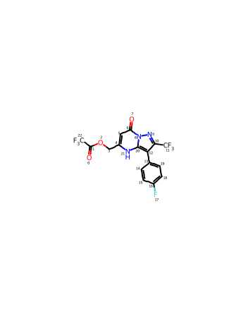 O=C(OCc1cc(=O)n2nc(C(F)(F)F)c(-c3ccc(F)cc3)c2[nH]1)C(F)(F)F